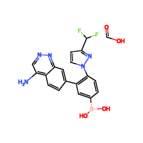 Nc1cnnc2cc(-c3cc(B(O)O)ccc3-n3ccc(C(F)F)n3)ccc12.O=CO